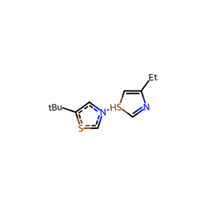 CCC1=C[SH]([n+]2csc(C(C)(C)C)c2)C=N1